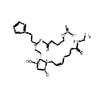 CCNC(=O)CCC/C=C\C[C@@H]1[C@@H](CC[C@H](CCc2ccccc2)OC(=O)CCCO[N+](=O)[O-])[C@H](O)C[C@@H]1O